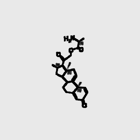 C[C@H](N)C(=O)OCC(=O)C1[C@H](C)CC2C3CCC4=CC(=O)C=C[C@]4(C)C3=CC[C@@]21C